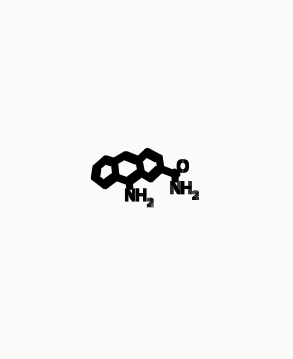 NC(=O)c1ccc2cc3ccccc3c(N)c2c1